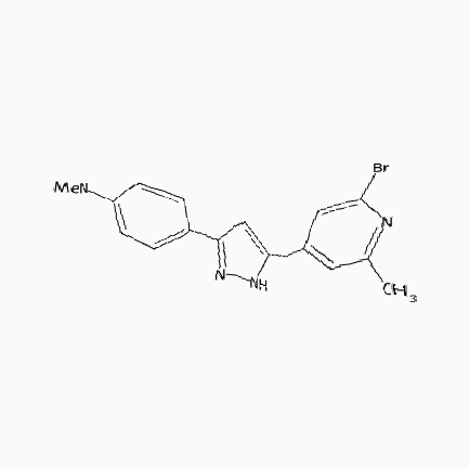 CNc1ccc(-c2cc(-c3cc(C)nc(Br)c3)[nH]n2)cc1